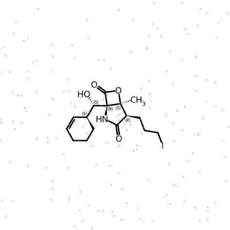 C[C@@]12OC(=O)[C@]1([C@@H](O)[C@@H]1C=CCCC1)NC(=O)[C@@H]2CCCI